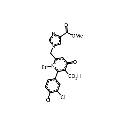 CCn1c(Cn2cnc(C(=O)OC)c2)cc(=O)c(C(=O)O)c1-c1ccc(Cl)c(Cl)c1